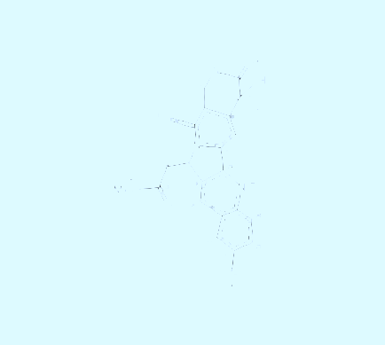 CC[C@@]1(O)C(=O)OCc2c1cc1n(c2=O)C(CC(=O)OC)c2cc3cc(O)ccc3nc2-1